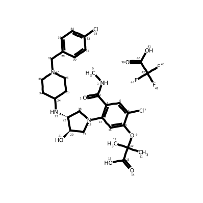 CNC(=O)c1cc(Cl)c(OC(C)(C)C(=O)O)cc1N1C[C@@H](O)[C@H](NC2CCN(Cc3ccc(Cl)cc3)CC2)C1.O=C(O)C(F)(F)F